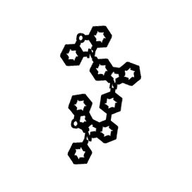 c1ccc(-n2c3cccc(-c4ccc(-n5c6ccccc6c6cc(N7c8ccccc8Oc8ccccc87)ccc65)cc4)c3c3c4ccccc4oc32)cc1